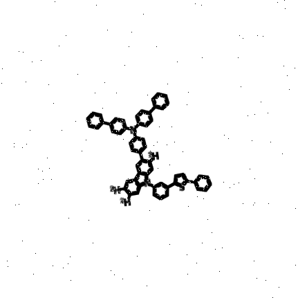 [2H]c1cc2c3cc(-c4ccc(N(c5ccc(-c6ccccc6)cc5)c5ccc(-c6ccccc6)cc5)cc4)c([2H])cc3n(-c3cccc(-c4ccc(-c5ccccc5)s4)c3)c2cc1[2H]